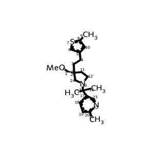 COC[C@@]1(CCc2csc(C)c2)CCN(C(C)(C)c2ccc(C)nc2)C1